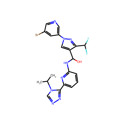 CC(C)n1cnnc1-c1cccc(NC(O)c2cn(-c3cncc(Br)c3)nc2C(F)F)n1